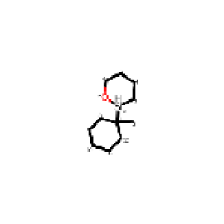 CC1([SiH]2CCCCO2)CCCCC1